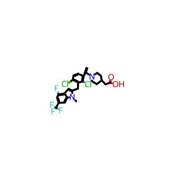 C=C(c1ccc(Cl)c(Cc2cc3c(F)cc(C(F)(F)F)cc3n2C)c1Cl)N1CCC(CC(=O)O)CC1